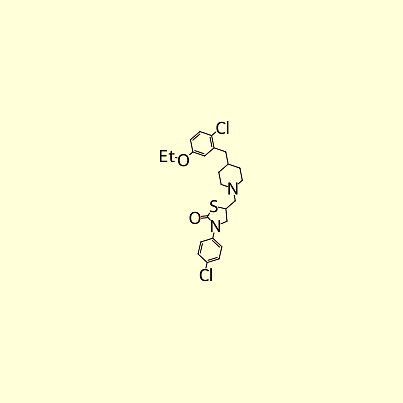 CCOc1ccc(Cl)c(CC2CCN(CC3CN(c4ccc(Cl)cc4)C(=O)S3)CC2)c1